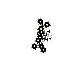 CC1(C)c2cc(N(c3ccccc3)c3ccccc3)ccc2-c2sc3c(c21)C(C)(C)c1cc(N(c2ccccc2)c2ccc4ccccc4c2)ccc1-3